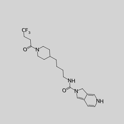 O=C(NCCCCC1CCN(C(=O)CCC(F)(F)F)CC1)N1C=C2C=CNC=C2C1